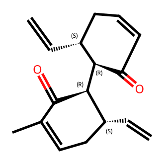 C=C[C@@H]1CC=CC(=O)[C@H]1[C@@H]1C(=O)C(C)=CC[C@H]1C=C